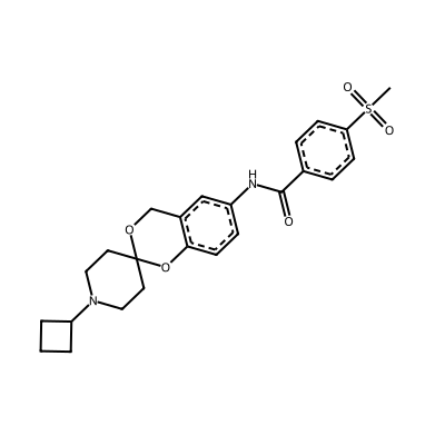 CS(=O)(=O)c1ccc(C(=O)Nc2ccc3c(c2)COC2(CCN(C4CCC4)CC2)O3)cc1